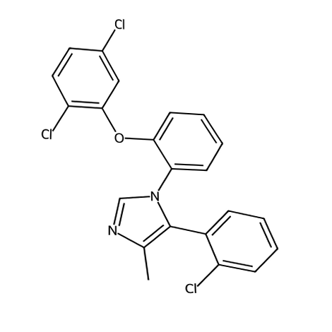 Cc1ncn(-c2ccccc2Oc2cc(Cl)ccc2Cl)c1-c1ccccc1Cl